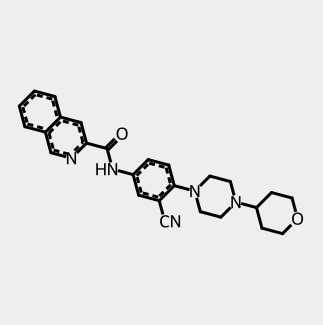 N#Cc1cc(NC(=O)c2cc3ccccc3cn2)ccc1N1CCN(C2CCOCC2)CC1